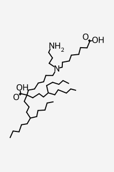 CCCCCC(CCCCC)CCCC(CCCCCCN(CCCN)CCCCCCCC(=O)O)(CCCC(CCCCC)CCCCC)C(=O)O